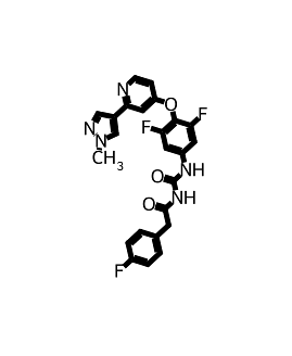 Cn1cc(-c2cc(Oc3c(F)cc(NC(=O)NC(=O)Cc4ccc(F)cc4)cc3F)ccn2)cn1